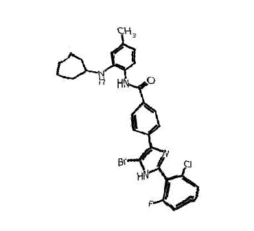 Cc1ccc(NC(=O)c2ccc(-c3nc(-c4c(F)cccc4Cl)[nH]c3Br)cc2)c(NC2CCCCC2)c1